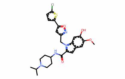 COc1cc2cc(C(=O)NC3CCN(C(C)C)CC3)n(Cc3cc(-c4ccc(Cl)s4)on3)c2cc1O